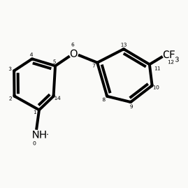 [NH]c1cccc(Oc2cccc(C(F)(F)F)c2)c1